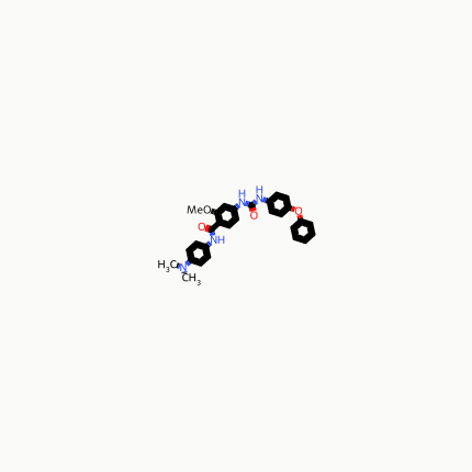 COc1cc(NC(=O)Nc2ccc(Oc3ccccc3)cc2)ccc1C(=O)Nc1ccc(N(C)C)cc1